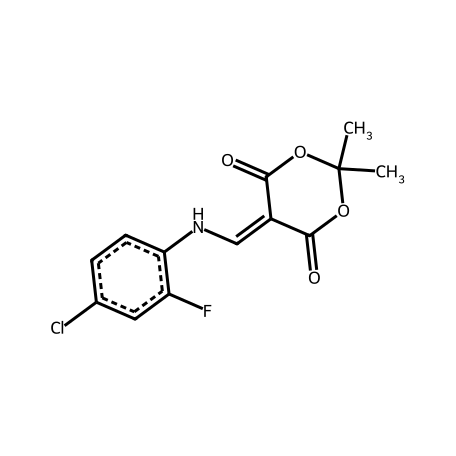 CC1(C)OC(=O)C(=CNc2ccc(Cl)cc2F)C(=O)O1